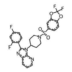 O=S(=O)(c1ccc2c(c1)OC(F)(F)O2)N1CCC(n2c(-c3ccc(F)cc3F)nc3cccnc32)CC1